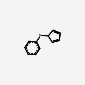 C1=C[CH]([Ti][c]2ccccc2)C=C1